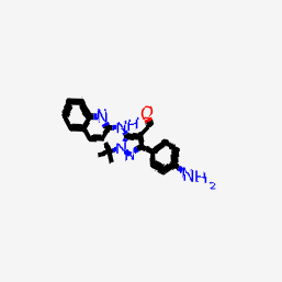 CC(C)(C)n1nc(-c2ccc(N)cc2)c(C=O)c1Nc1ccc2ccccc2n1